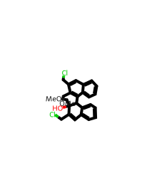 COCc1c(CCl)cc2ccccc2c1C1c2ccccc2C=C(CCl)C1(O)COC